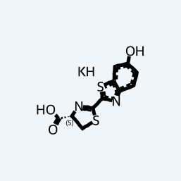 O=C(O)[C@H]1CSC(c2nc3ccc(O)cc3s2)=N1.[KH]